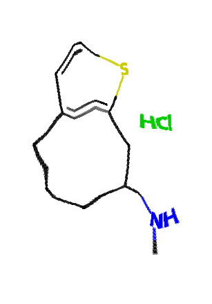 CNC1CCCc2ccsc2C1.Cl